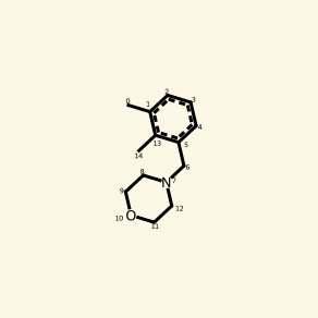 Cc1cccc(CN2CCOCC2)c1C